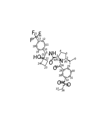 CC[C@@H]1CC[C@H](C(=O)N[C@@H](c2ccc(C(F)(F)F)cc2)C2(O)CCC2)N1C(=O)c1cccc(S(=O)(=O)CC)c1